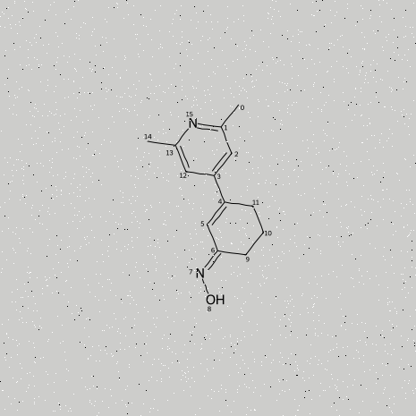 Cc1cc(C2=C/C(=N/O)CCC2)cc(C)n1